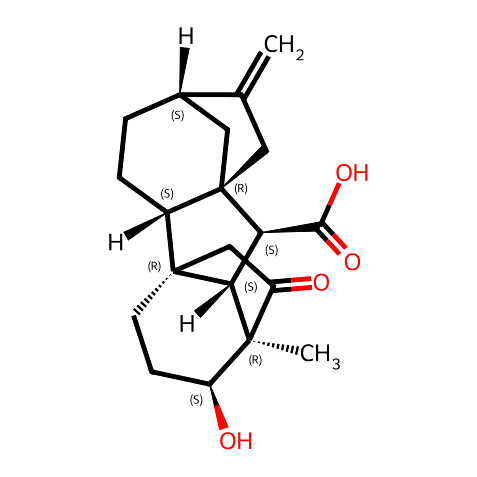 C=C1C[C@]23C[C@@H]1CC[C@H]2[C@@]12CC[C@H](O)[C@](C)(C(=O)C1)[C@H]2[C@@H]3C(=O)O